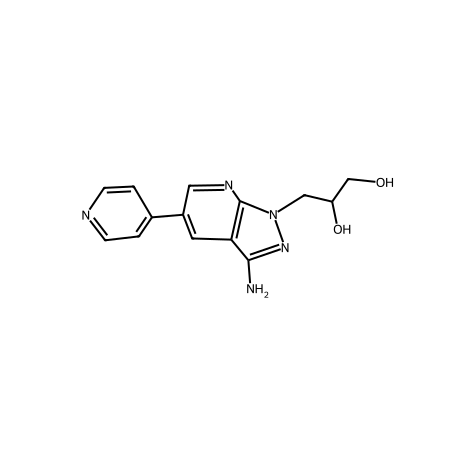 Nc1nn(CC(O)CO)c2ncc(-c3ccncc3)cc12